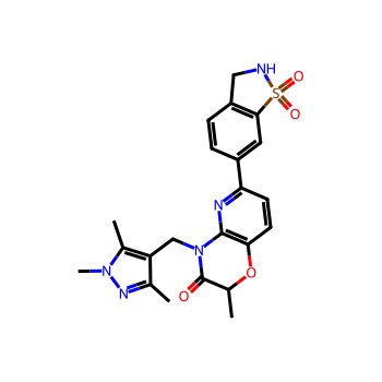 Cc1nn(C)c(C)c1CN1C(=O)C(C)Oc2ccc(-c3ccc4c(c3)S(=O)(=O)NC4)nc21